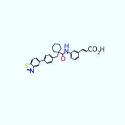 O=C(O)/C=C/c1cccc(NC(=O)C2(Cc3ccc(-c4ccc5scnc5c4)cc3)CCCCC2)c1